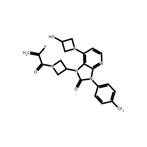 C=C(F)C(=O)N1CC(n2c(=O)n(-c3ccc(C(F)(F)F)cc3)c3nccc(N4CC(O)C4)c32)C1